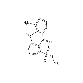 C=C1c2cccc(S(=O)(=O)ON)c2C(=O)c2cccc(N)c21